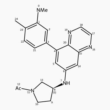 CNc1cc(-c2cc(N[C@H]3CCN(C(C)=O)C3)cc3nccnc23)ccc1C